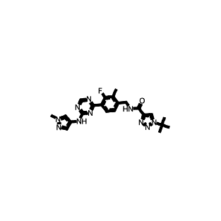 Cc1c(CNC(=O)c2cn(C(C)(C)C)nn2)ccc(-c2ncnc(Nc3cnn(C)c3)n2)c1F